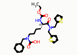 CCOC(=O)N[C@@H](CCCCN(Cc1ccccc1)C(=O)O)C(=O)N(Cc1cccs1)Cc1cccs1